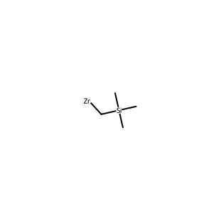 C[Si](C)(C)[CH2][Zr]